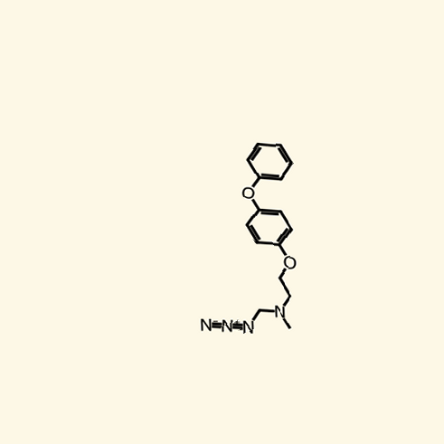 CN(CCOc1ccc(Oc2ccccc2)cc1)CN=[N+]=[N-]